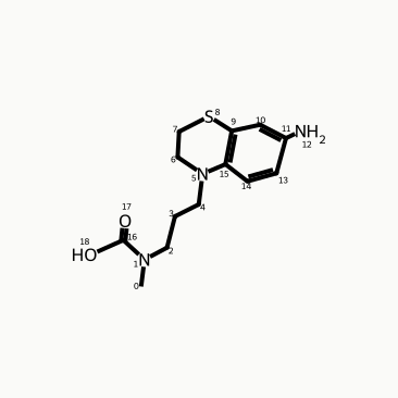 CN(CCCN1CCSc2cc(N)ccc21)C(=O)O